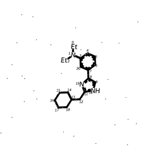 CCN(CC)c1cccc(-c2c[nH]c(CC3CCCCC3)n2)c1